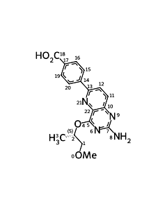 COC[C@H](C)Oc1nc(N)nc2ccc(-c3ccc(C(=O)O)cc3)nc12